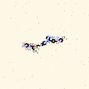 C=C/C=C(/C(=O)NC1CCC(=O)NC1=O)C(C)(C)OCCCN1CC2(CCN(c3nc(-c4ccc(C(=O)Nc5cc(C(F)(F)F)ccn5)cc4F)c4c(N)nccn34)CC2)C1